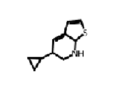 C1=CC2=CC(C3CC3)CNC2S1